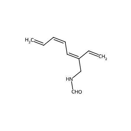 C=C/C=C\C=C(/C=C)CNC=O